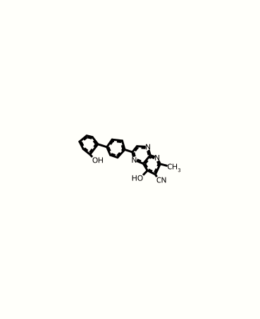 Cc1nc2ncc(-c3ccc(-c4ccccc4O)cc3)nc2c(O)c1C#N